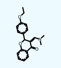 CCOc1ccc(C2Oc3ccccc3C(=O)C2=CN(C)C)cc1